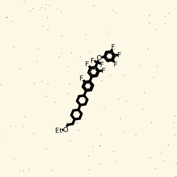 CCOCCC1CCC(C2CCC(c3ccc(-c4cc(F)c(C(F)(F)Oc5cc(F)c(F)c(F)c5)c(F)c4)c(F)c3)CC2)CC1